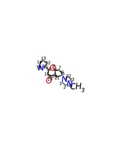 CN1CCN(c2ccc3oc(-c4ccccn4)cc(=O)c3c2)CC1